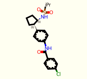 CC(C)S(=O)(=O)N[C@H]1CCC[C@H]1c1ccc(NC(=O)c2ccc(Cl)cc2)cc1